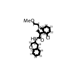 COCCn1cc(C(=O)NC2COc3ccccc3C2)c2c(Cl)cccc21